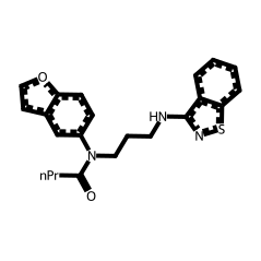 CCCC(=O)N(CCCNc1nsc2ccccc12)c1ccc2occc2c1